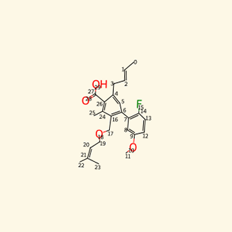 CC=CCc1cc(-c2cc(OC)ccc2F)c(COCC=C(C)C)c(C)c1C(=O)O